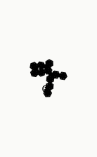 c1ccc(-c2ccc3c(c2)c2cc(-c4ccc5c(c4)oc4ccccc45)ccc2n3-c2ccc3c(c2)c2ccccc2n3-c2cccc([Si](c3ccccc3)(c3ccccc3)c3ccccc3)c2)cc1